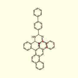 c1ccc(C2=NC(c3ccc(-c4ccccc4)cc3)NC(c3ccccc3-c3c4ccccc4cc4c3ccc3ccccc34)N2)cc1